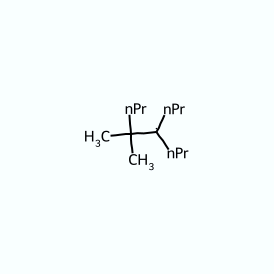 CCC[C](CCC)C(C)(C)CCC